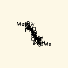 COC(=O)N[C@H](C(=O)N1C[C@H](F)C[C@H]1c1nc(Cl)c(-c2cc3c4c(c2)OCc2cc(-c5[nH]c([C@@H]6C[C@@H](F)CN6C(=O)[C@@H](NC(=O)OC)C(C)C)nc5Cl)cc(c2-4)OC3)[nH]1)C(C)C